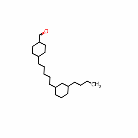 CCCCC1CCCC(CCCCCC2CCC(C=O)CC2)C1